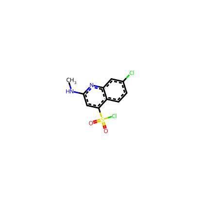 CNc1cc(S(=O)(=O)Cl)c2ccc(Cl)cc2n1